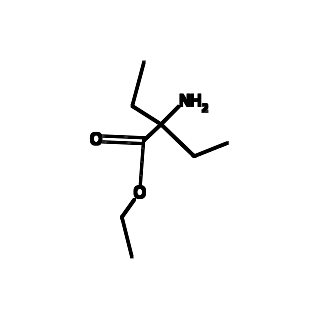 CCOC(=O)C(N)(CC)CC